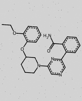 CCOc1ccccc1OC1CCCN(c2cncc(-c3ccccc3C(N)=O)n2)C1